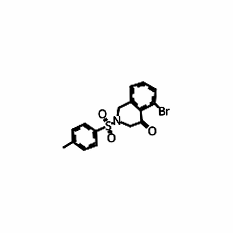 Cc1ccc(S(=O)(=O)N2CC(=O)c3c(Br)cccc3C2)cc1